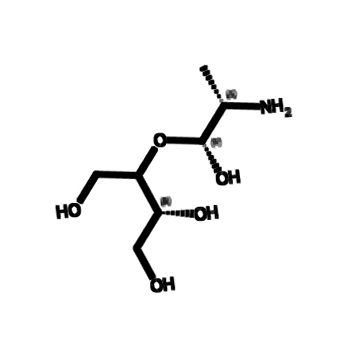 C[C@H](N)[C@H](O)OC(CO)[C@H](O)CO